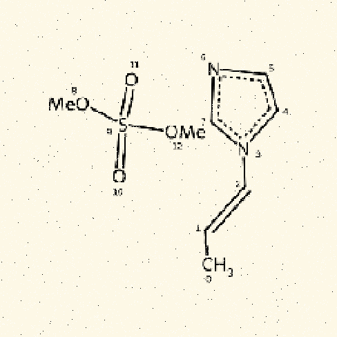 CC=Cn1ccnc1.COS(=O)(=O)OC